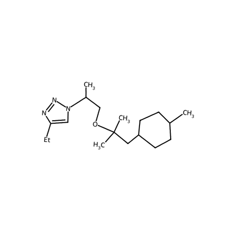 CCc1cn(C(C)COC(C)(C)CC2CCC(C)CC2)nn1